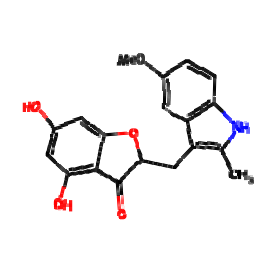 COc1ccc2[nH]c(C)c(CC3Oc4cc(O)cc(O)c4C3=O)c2c1